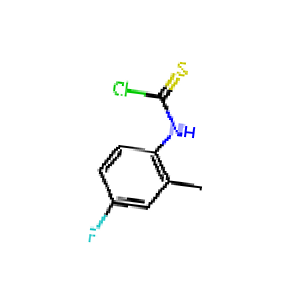 Cc1cc(F)ccc1NC(=S)Cl